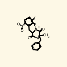 CN1C(=O)C(C)(Cc2ccccc2)NC(=O)C1Cc1c([N+](=O)[O-])ccc(F)c1F